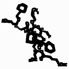 C=CCO[C@H]1O[C@H](CF)[C@@H](OP(=O)(c2ccccc2)c2ccccc2)[C@H](OC(=O)C[C@@H](CCCCCCCCCCC)OC(=O)CCCCCCCCCCCCC)[C@H]1NC(=O)C[C@H](CCCCCCCCCCC)OCc1ccccc1